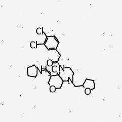 CC12C(CN3CCCC3)COCC1N(CC1CCCO1)CCN2C(=O)Cc1ccc(Cl)c(Cl)c1